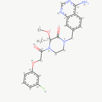 CCO[C@@]1(C)C(=O)N(Cc2ccc3c(N)ncnc3c2)CCN1C(=O)COc1cccc(F)c1